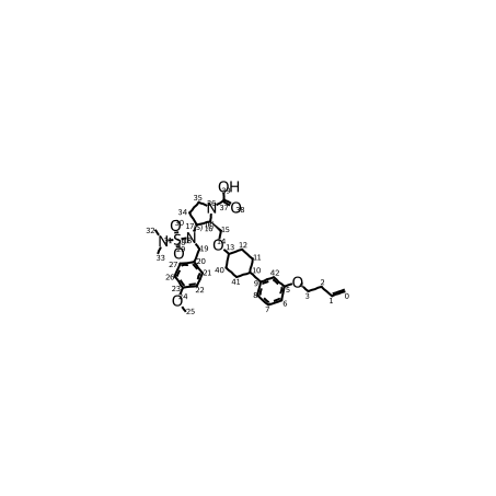 C=CCCOc1cccc(C2CCC(OC[C@H]3[C@@H](N(Cc4ccc(OC)cc4)S(=O)(=O)N(C)C)CCN3C(=O)O)CC2)c1